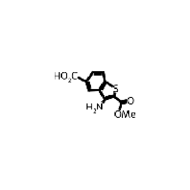 COC(=O)c1sc2ccc(C(=O)O)cc2c1N